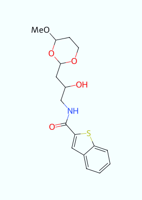 COC1CCOC(CC(O)CNC(=O)c2cc3ccccc3s2)O1